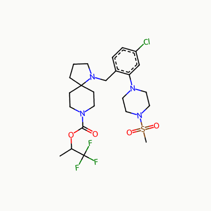 CC(OC(=O)N1CCC2(CCCN2Cc2ccc(Cl)cc2N2CCN(S(C)(=O)=O)CC2)CC1)C(F)(F)F